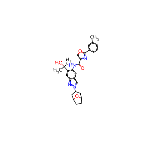 Cc1cccc(-c2nc(C(=O)Nc3cc4cn(C5CC6CCC(C5)O6)nc4cc3C(C)(C)O)co2)c1